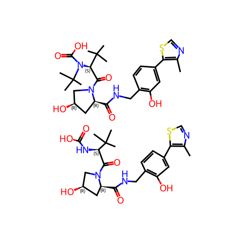 Cc1ncsc1-c1ccc(CNC(=O)[C@H]2C[C@@H](O)CN2C(=O)[C@@H](N(C(=O)O)C(C)(C)C)C(C)(C)C)c(O)c1.Cc1ncsc1-c1ccc(CNC(=O)[C@H]2C[C@@H](O)CN2C(=O)[C@@H](NC(=O)O)C(C)(C)C)c(O)c1